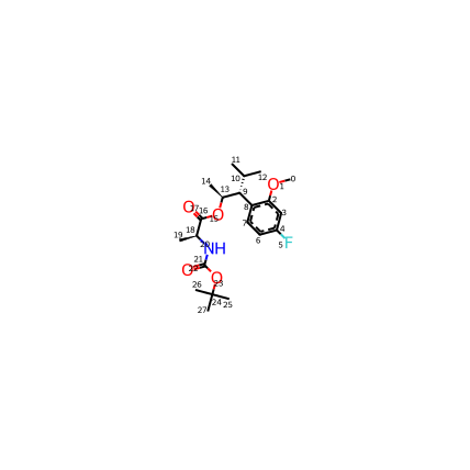 COc1cc(F)ccc1[C@@H](C(C)C)[C@H](C)OC(=O)[C@H](C)NC(=O)OC(C)(C)C